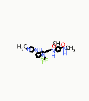 CCN1CCC(Nc2cccc3c2cc(C#CCNc2ccc(C(=O)NC)cc2OC)n3CC(F)(F)F)CC1